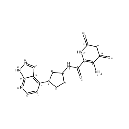 NC1=C(C(=O)NC2CCN(c3ncnc4[nH]ncc34)C2)NC(=O)CC1=O